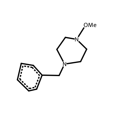 CON1CCN(Cc2ccccc2)CC1